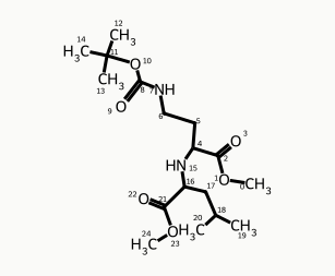 COC(=O)C(CCNC(=O)OC(C)(C)C)NC(CC(C)C)C(=O)OC